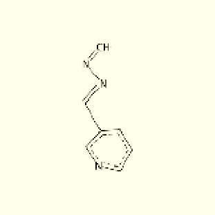 [CH]=NN=Cc1cccnc1